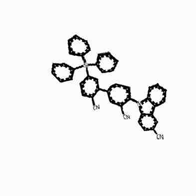 N#Cc1ccc2c(c1)c1ccccc1n2-c1ccc(-c2cc([Si](c3ccccc3)(c3ccccc3)c3ccccc3)ccc2C#N)cc1C#N